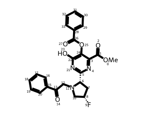 COC(=O)c1nc([C@@H]2C[C@H](F)CN2CC(=O)c2ccccc2)nc(O)c1OC(=O)c1ccccc1